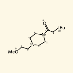 COCCN1CCN(C(=O)CC(C)(C)C)CC1